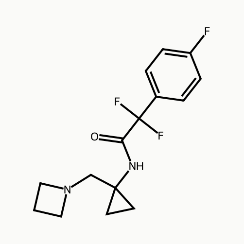 O=C(NC1(CN2CCC2)CC1)C(F)(F)c1ccc(F)cc1